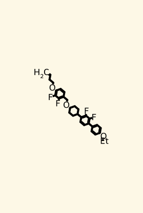 C=CCCOc1ccc(COC2CCC(c3ccc(-c4ccc(OCC)cc4)c(F)c3F)CC2)c(F)c1F